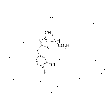 Cc1nc(Cc2ccc(F)c(Cl)c2)sc1NC(=O)O